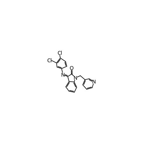 O=C1C(=Nc2ccc(Cl)c(Cl)c2)c2ccccc2N1Cc1cccnc1